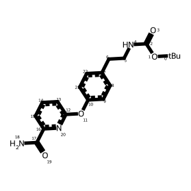 CC(C)(C)OC(=O)NCCc1ccc(Oc2cccc(C(N)=O)n2)cc1